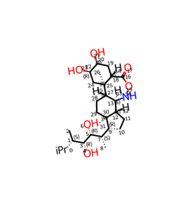 CC(C)[C@H](C)[C@@H](O)[C@H](O)[C@@H](C)[C@H]1CC[C@H]2[C@@H]3NOC(=O)[C@H]4C[C@H](O)[C@H](O)C[C@]4(C)[C@H]3CC[C@]12C